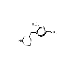 Cc1cc([N+](=O)[O-])ccc1CC1CNCCO1